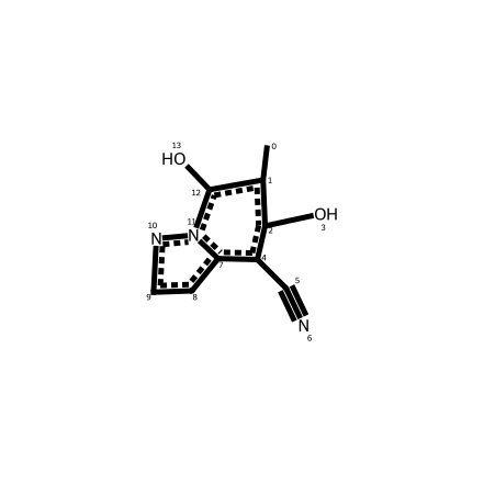 Cc1c(O)c(C#N)c2ccnn2c1O